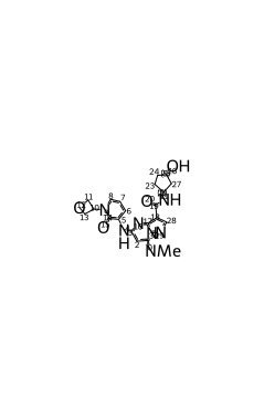 CNc1cc(Nc2cccn(C3COC3)c2=O)nc2c(C(=O)N[C@H]3CC[C@H](O)C3)cnn12